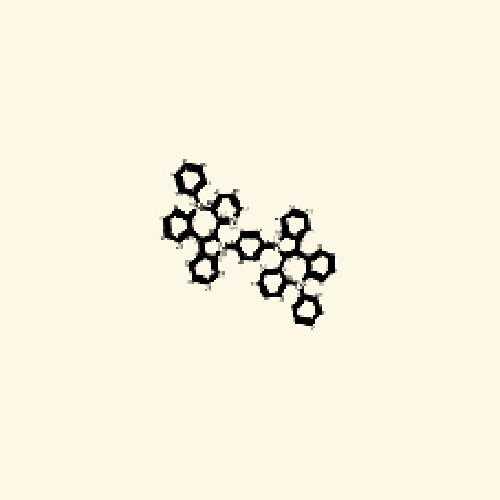 c1ccc(N2c3ccccc3-c3c(n(-c4ccc(-n5c6c(c7ccccc75)-c5ccccc5N(c5ccccc5)c5cccnc5-6)cc4)c4ccccc34)-c3ccccc32)cc1